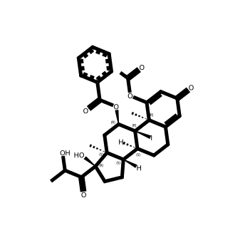 CC(=O)OC1=CC(=O)C=C2CC[C@H]3[C@@H]4CC[C@](O)(C(=O)C(C)O)[C@@]4(C)C[C@@H](OC(=O)c4ccccc4)[C@]3(I)[C@]21C